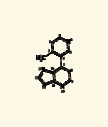 Cc1ccncc1-c1ccnc2ccsc12